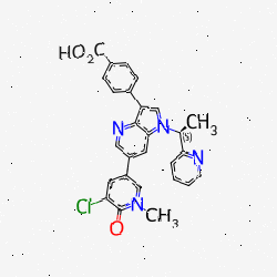 C[C@@H](c1ccccn1)n1cc(-c2ccc(C(=O)O)cc2)c2ncc(-c3cc(Cl)c(=O)n(C)c3)cc21